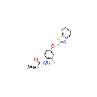 COC(=O)Nc1ccc(OCc2nc3ccccc3s2)cc1C